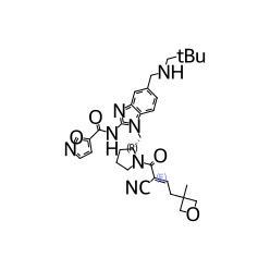 CC(C)(C)CNCc1ccc2c(c1)nc(NC(=O)c1ccno1)n2C[C@H]1CCCN1C(=O)/C(C#N)=C/CC1(C)COC1